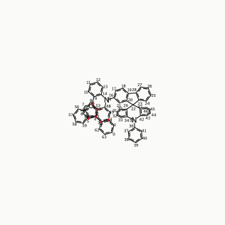 c1ccc(-c2cccc(-c3ccccc3N(c3ccc4c(c3)C3(c5ccccc5-4)c4ccccc4N(c4ccccc4)c4ccccc43)c3cccc4c3oc3ccccc34)c2)cc1